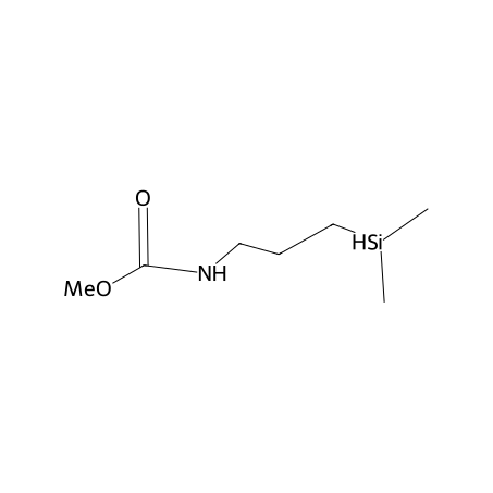 COC(=O)NCCC[SiH](C)C